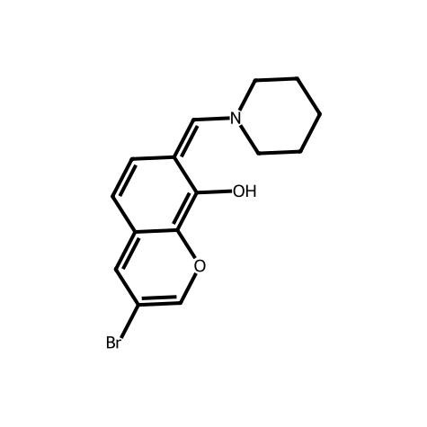 Oc1c2c(ccc1=CN1CCCCC1)=CC(Br)=CO2